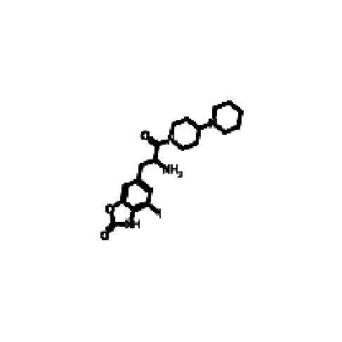 NC(Cc1cc(I)c2[nH]c(=O)oc2c1)C(=O)N1CCC(N2CCCCC2)CC1